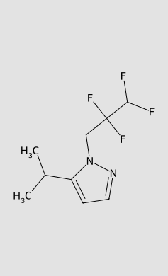 CC(C)c1ccnn1CC(F)(F)C(F)F